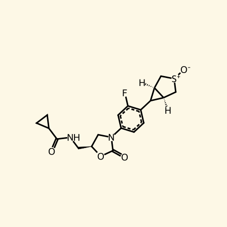 O=C(NC[C@H]1CN(c2ccc(C3[C@H]4C[S+]([O-])C[C@@H]34)c(F)c2)C(=O)O1)C1CC1